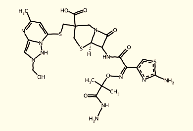 CC1=NC2=CN(CO)NN2C(SCC2(C(=O)O)CS[C@@H]3C(NC(=O)C(=NOC(C)(C)C(=O)NN)c4csc(N)n4)C(=O)N3C2)=C1